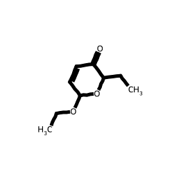 CCOC1C=CC(=O)C(CC)O1